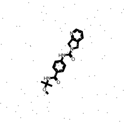 COC(C)(C)NC(=O)c1ccc(NC(=O)N2Cc3cccnc3C2)cc1